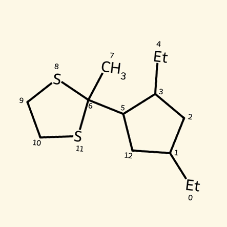 CCC1CC(CC)C(C2(C)SCCS2)C1